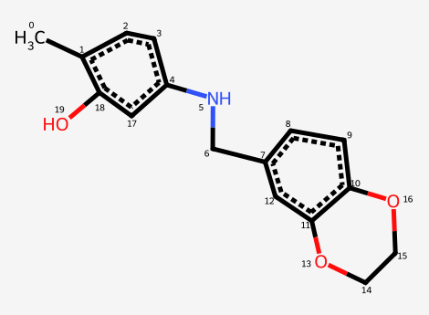 Cc1ccc(NCc2ccc3c(c2)OCCO3)cc1O